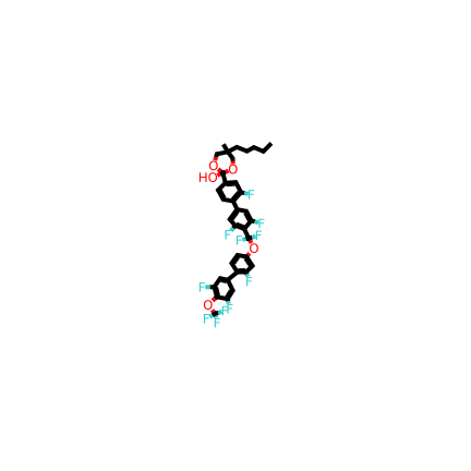 CCCCCC1(C)COC(O)(c2ccc(-c3cc(F)c(C(F)(F)Oc4ccc(-c5cc(F)c(OC(F)(F)F)c(F)c5)c(F)c4)c(F)c3)c(F)c2)OC1